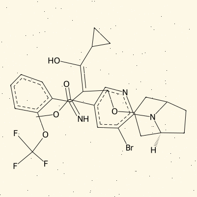 COC(=O)c1cnc(N2C3CC[C@H]2CC(OC/C(C(=N)c2ccccc2OC(F)(F)F)=C(/O)C2CC2)C3)c(Br)c1